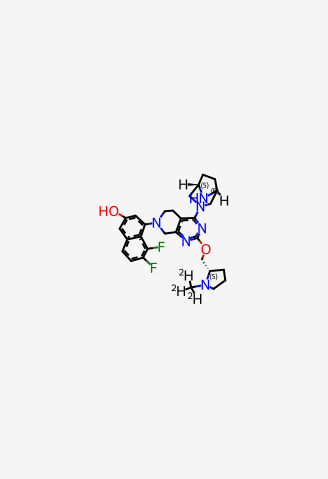 [2H]C([2H])([2H])N1CCC[C@H]1COc1nc2c(c(N3C[C@H]4CC[C@@H](C3)N4)n1)CCN(c1cc(O)cc3ccc(F)c(F)c13)C2